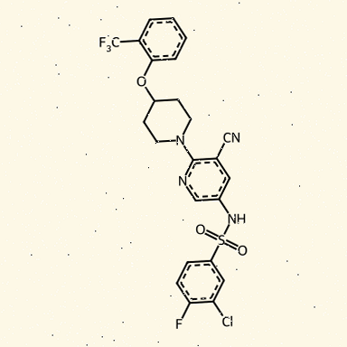 N#Cc1cc(NS(=O)(=O)c2ccc(F)c(Cl)c2)cnc1N1CCC(Oc2ccccc2C(F)(F)F)CC1